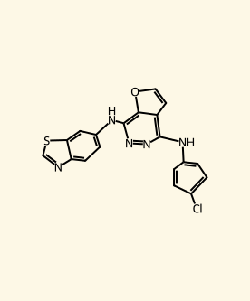 Clc1ccc(Nc2nnc(Nc3ccc4ncsc4c3)c3occc23)cc1